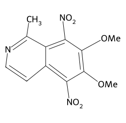 COc1c(OC)c([N+](=O)[O-])c2c(C)nccc2c1[N+](=O)[O-]